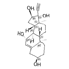 C#C[C@]1(O)[C@H](O)C[C@H]2[C@@H]3[C@@H](O)C=C4C[C@H](O)CC[C@]4(C)[C@H]3CC[C@@]21C